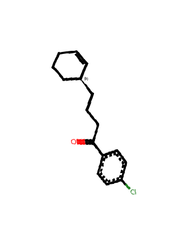 O=C(CCC[C@@H]1C=CCCC1)c1ccc(Cl)cc1